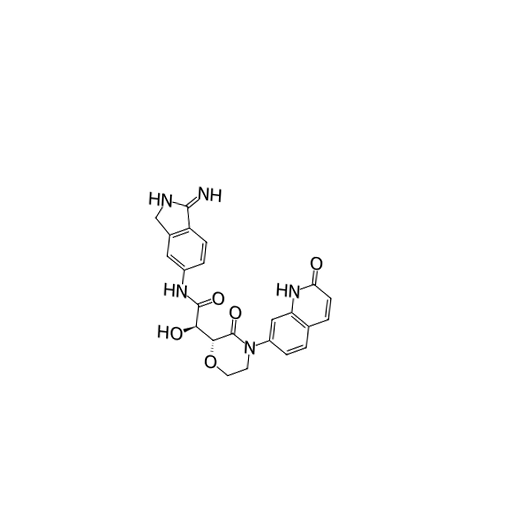 N=C1NCc2cc(NC(=O)[C@H](O)[C@H]3OCCN(c4ccc5ccc(=O)[nH]c5c4)C3=O)ccc21